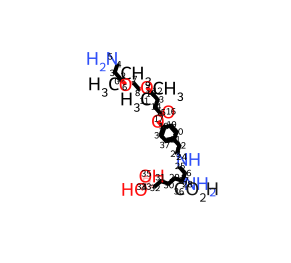 CC(C)(CCN)OCCOC(C)(C)CCC(=O)Oc1ccc(CCNCCC(N)(CCCCB(O)O)C(=O)O)cc1